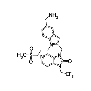 CS(=O)(=O)CCCn1c(Cn2c(=O)n(CC(F)(F)F)c3ccncc32)cc2cc(CN)ccc21